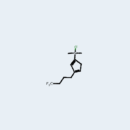 C[Si](C)(Cl)C1=CC(CCCC(F)(F)F)=CC1